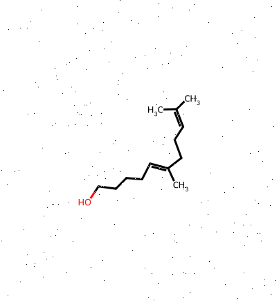 CC(C)=CCCC(C)=CCCCCO